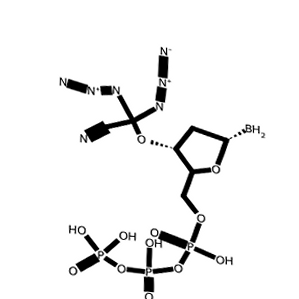 B[C@H]1C[C@@H](OC(C#N)(N=[N+]=[N-])N=[N+]=[N-])C(COP(=O)(O)OP(=O)(O)OP(=O)(O)O)O1